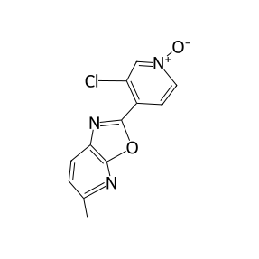 Cc1ccc2nc(-c3cc[n+]([O-])cc3Cl)oc2n1